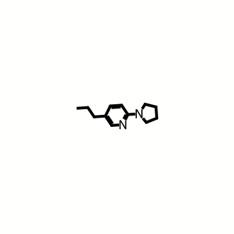 CCCc1ccc(N2CCCC2)nc1